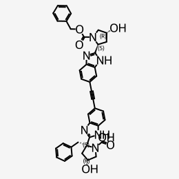 O=C(OCc1ccccc1)N1C[C@H](O)C[C@H]1c1nc2ccc(C#Cc3ccc4[nH]c([C@]5(Cc6ccccc6)C[C@@H](O)CN5C(=O)O)nc4c3)cc2[nH]1